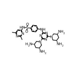 Cc1cc(NS(=O)(=O)c2ccc(Nc3nc(N4C[C@H](N)C[C@H](N)C4)nc(N4C[C@H](N)C[C@H](N)C4)n3)cc2)nc(C)n1